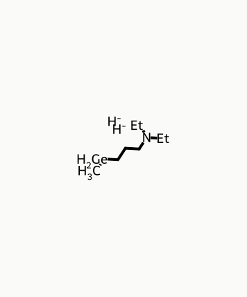 CCN(CC)CC[CH2][GeH2][CH3].[H-].[H-]